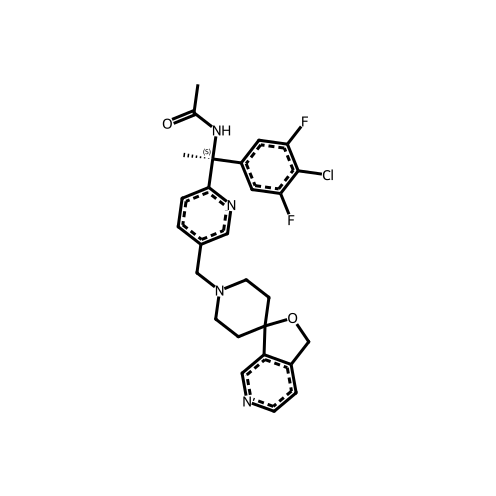 CC(=O)N[C@@](C)(c1cc(F)c(Cl)c(F)c1)c1ccc(CN2CCC3(CC2)OCc2ccncc23)cn1